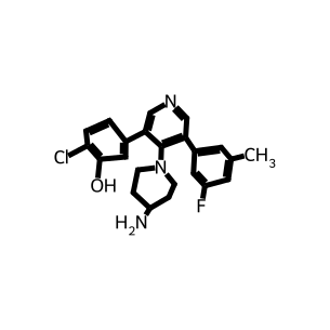 Cc1cc(F)cc(-c2cncc(-c3ccc(Cl)c(O)c3)c2N2CCC(N)CC2)c1